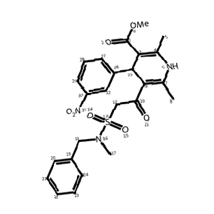 COC(=O)C1=C(C)NC(C)=C(C(=O)CS(=O)(=O)N(C)Cc2ccccc2)C1c1cccc([N+](=O)[O-])c1